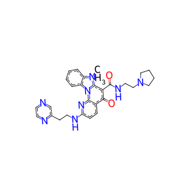 Cn1c2ccccc2n2c3nc(NCCc4cnccn4)ccc3c(=O)c(C(=O)NCCN3CCCC3)c12